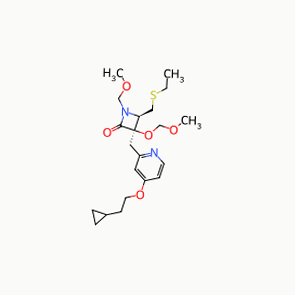 CCSC[C@@H]1N(COC)C(=O)[C@]1(Cc1cc(OCCC2CC2)ccn1)OCOC